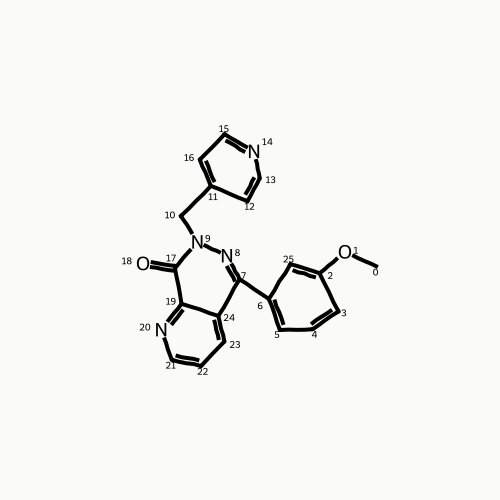 COc1cccc(-c2nn(Cc3ccncc3)c(=O)c3ncccc23)c1